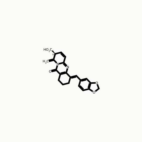 C=C1[C@@H](C(=O)O)C=Cc2nc3c(c(=O)n21)CCCC3=Cc1ccc2c(c1)OCO2